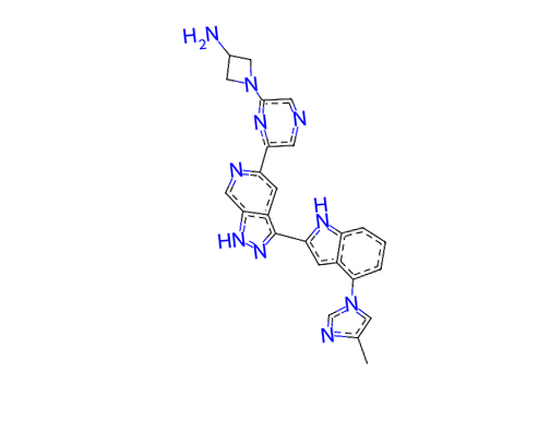 Cc1cn(-c2cccc3[nH]c(-c4n[nH]c5cnc(-c6cncc(N7CC(N)C7)n6)cc45)cc23)cn1